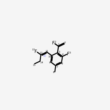 C=C(F)c1c(F)cc(C)cc1/C=C(/F)CC